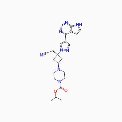 CC(C)OC(=O)N1CCN([C@H]2C[C@](CC#N)(n3cc(-c4ncnc5[nH]ccc45)cn3)C2)CC1